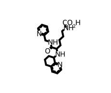 O=C(O)NCCCCC(NC1CCCc2cccnc21)C(=O)NCc1ccccn1